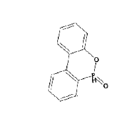 O=[PH]1Oc2ccccc2-c2ccc[c]c21